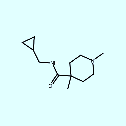 CN1CCC(C)(C(=O)NCC2CC2)CC1